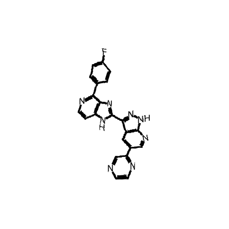 Fc1ccc(-c2nccc3[nH]c(-c4n[nH]c5ncc(-c6cnccn6)cc45)nc23)cc1